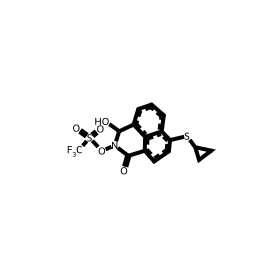 O=C1c2ccc(SC3CC3)c3cccc(c23)C(O)N1OS(=O)(=O)C(F)(F)F